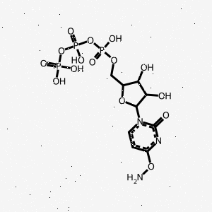 NOc1ccn(C2OC(COP(=O)(O)OP(=O)(O)OP(=O)(O)O)C(O)C2O)c(=O)n1